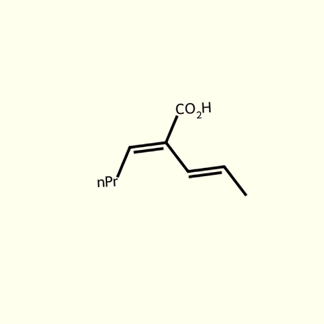 CC=CC(=CCCC)C(=O)O